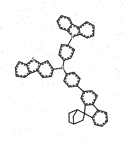 c1ccc2c(c1)-c1ccc(-c3ccc(N(c4ccc(-n5c6ccccc6c6ccccc65)cc4)c4ccc5c(c4)sc4ccccc45)cc3)cc1C21CC2CCC1C2